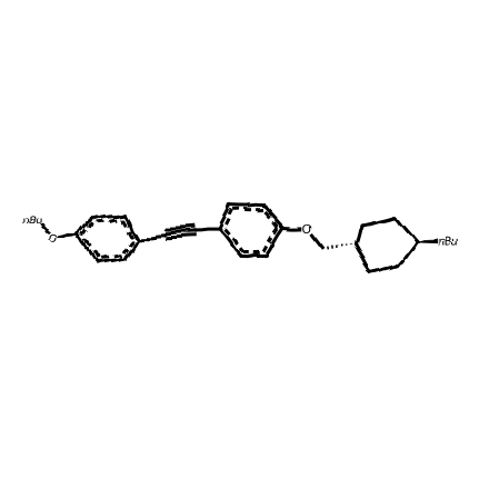 CCCCOc1ccc(C#Cc2ccc(OC[C@H]3CC[C@H](CCCC)CC3)cc2)cc1